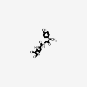 Cc1ccc(N(C)C(=O)CNC(=O)c2cc3sc(Cl)c(Cl)c3[nH]2)cc1